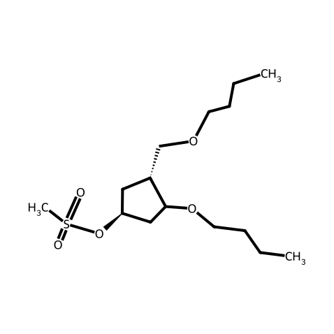 CCCCOC[C@H]1C[C@H](OS(C)(=O)=O)CC1OCCCC